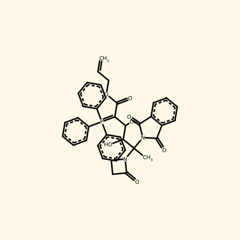 C=CCOC(=O)C(C(O)C(O)C(C)(N1CCC1=O)N1C(=O)c2ccccc2C1=O)=P(c1ccccc1)(c1ccccc1)c1ccccc1